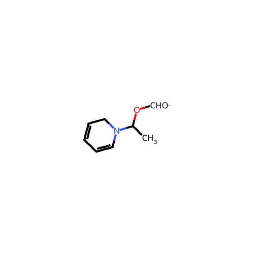 CC(O[C]=O)N1C=CC=CC1